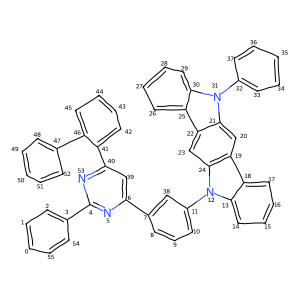 c1ccc(-c2nc(-c3cccc(-n4c5ccccc5c5cc6c(cc54)c4ccccc4n6-c4ccccc4)c3)cc(-c3ccccc3-c3ccccc3)n2)cc1